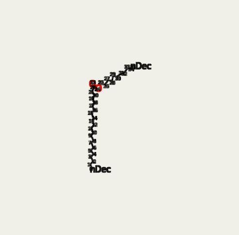 CCCCCCCCCCCCCCCCCCCCCCCCCCCCCCCC(=O)OCCCCCCCCCCCCCCCCCCCC